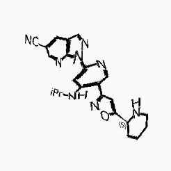 CC(C)Nc1cc(-n2ncc3cc(C#N)cnc32)ncc1-c1cc([C@@H]2CCCCN2)on1